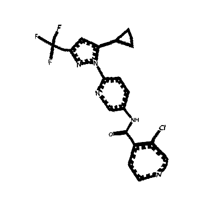 O=C(Nc1ccc(-n2nc(C(F)(F)F)cc2C2CC2)nc1)c1ccncc1Cl